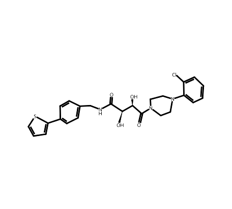 O=C(NCc1ccc(-c2cccs2)cc1)[C@H](O)[C@@H](O)C(=O)N1CCN(c2ccccc2Cl)CC1